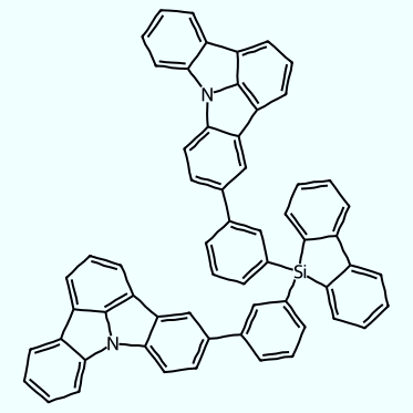 c1cc(-c2ccc3c(c2)c2cccc4c5ccccc5n3c42)cc([Si]2(c3cccc(-c4ccc5c(c4)c4cccc6c7ccccc7n5c64)c3)c3ccccc3-c3ccccc32)c1